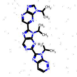 CC(C)n1cnc2ncc(-c3nc4cnc(-c5nc6ccnnc6n5C(C)C)nc4n3C(C)C)nc21